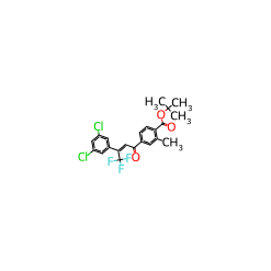 Cc1cc(C(=O)C=C(c2cc(Cl)cc(Cl)c2)C(F)(F)F)ccc1C(=O)OC(C)(C)C